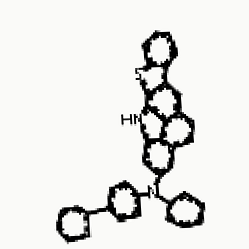 c1ccc(-c2ccc(N(c3ccccc3)c3cc4ccc5cc6c7ccccc7sc6c6[nH]c(c3)c4c56)cc2)cc1